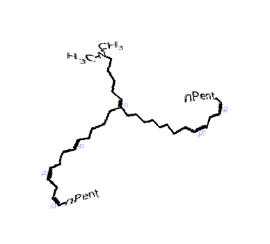 CCCCC/C=C\C/C=C\CC/C=C/CCCC/C(=C\CCCCN(C)C)CCCCCCCC/C=C\C/C=C\CCCCC